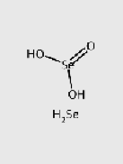 O=[Se](O)O.[SeH2]